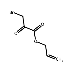 C=CCOC(=O)C(=O)CBr